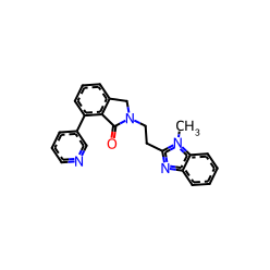 Cn1c(CCN2Cc3cccc(-c4cccnc4)c3C2=O)nc2ccccc21